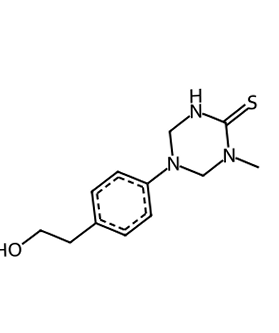 CN1CN(c2ccc(CCO)cc2)CNC1=S